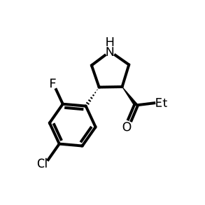 CCC(=O)[C@@H]1CNC[C@H]1c1ccc(Cl)cc1F